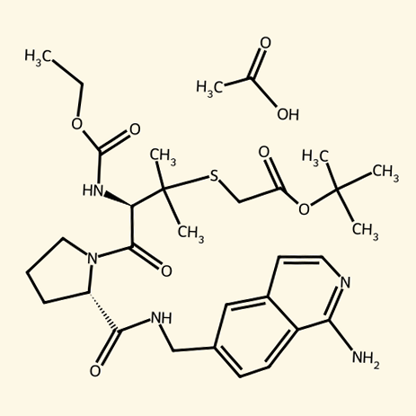 CC(=O)O.CCOC(=O)N[C@H](C(=O)N1CCC[C@H]1C(=O)NCc1ccc2c(N)nccc2c1)C(C)(C)SCC(=O)OC(C)(C)C